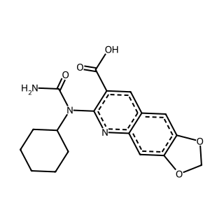 NC(=O)N(c1nc2cc3c(cc2cc1C(=O)O)OCO3)C1CCCCC1